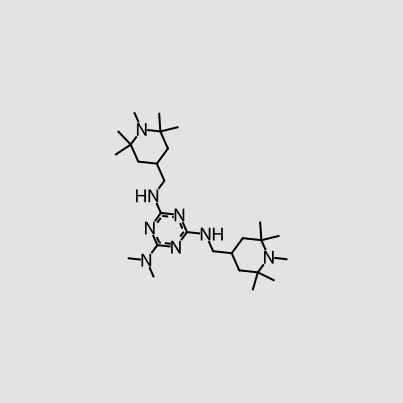 CN(C)c1nc(NCC2CC(C)(C)N(C)C(C)(C)C2)nc(NCC2CC(C)(C)N(C)C(C)(C)C2)n1